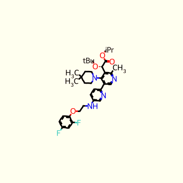 Cc1ncc(-c2ccc(NCCOc3ccc(F)cc3F)cn2)c(N2CCC(C)(C)CC2)c1[C@H](OC(C)(C)C)C(=O)OC(C)C